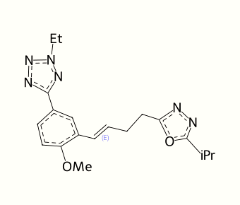 CCn1nnc(-c2ccc(OC)c(/C=C/CCc3nnc(C(C)C)o3)c2)n1